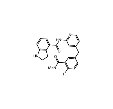 CNC(=O)c1cc(Cc2ccnc(NC(=O)c3cccc4c3CCN4)c2)ccc1F